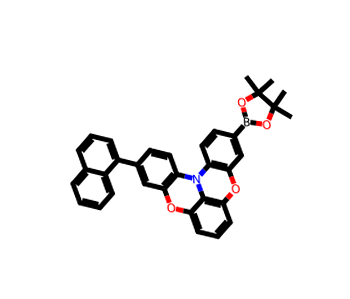 CC1(C)OB(c2ccc3c(c2)Oc2cccc4c2N3c2ccc(-c3cccc5ccccc35)cc2O4)OC1(C)C